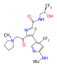 C[C@H]1CCCN1CC(=O)c1nc(C(=O)NC[C@H](O)C(F)(F)F)sc1-c1cnc(NC(C)(C)C)cc1C(F)(F)F